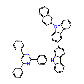 c1ccc(-c2cc(-c3ccccc3)nc(-c3ccc(-n4c5ccccc5c5ccc(-c6ccc7c(c6)c6ccccc6n7-c6ccc7ccccc7c6)cc54)cc3)n2)cc1